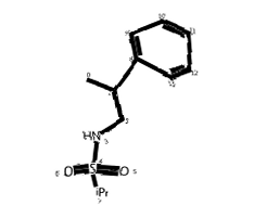 CC(CNS(=O)(=O)C(C)C)c1cc[c]cc1